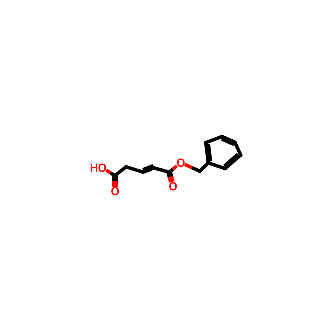 O=C(O)C/C=C/C(=O)OCc1ccccc1